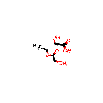 CCOC(=O)CO.O=C(O)CO